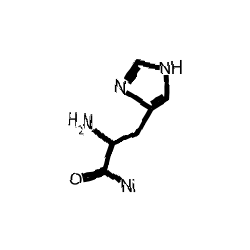 NC(Cc1c[nH]cn1)[C](=O)[Ni]